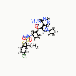 Cc1c(S(=O)(=O)Nc2cccc(C(=O)c3cn(C4CCCC4)c4ncnc(N)c34)c2)sc2ccc(Cl)cc12